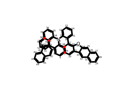 c1ccc(-c2ccccc2N(c2ccccc2-c2cccc3c2oc2cc4ccccc4cc23)c2cccc3oc4c5ccccc5ccc4c23)cc1